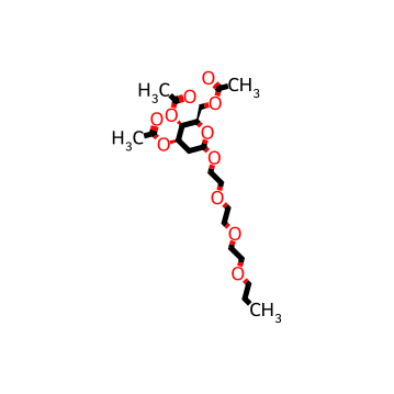 CCCOCCOCCOCCOC1C[C@@H](OC(C)=O)[C@@H](OC(C)=O)[C@@H](COC(C)=O)O1